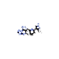 Cc1nc2ncnn2c(N)c1Cc1cccc(-c2c[nH]nc2C(F)(F)F)n1